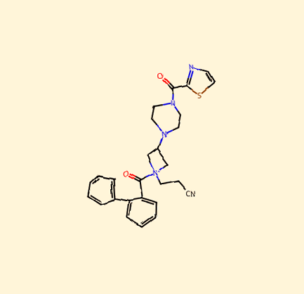 N#CCC[N+]1(C(=O)c2ccccc2-c2ccccc2)CC(N2CCN(C(=O)c3nccs3)CC2)C1